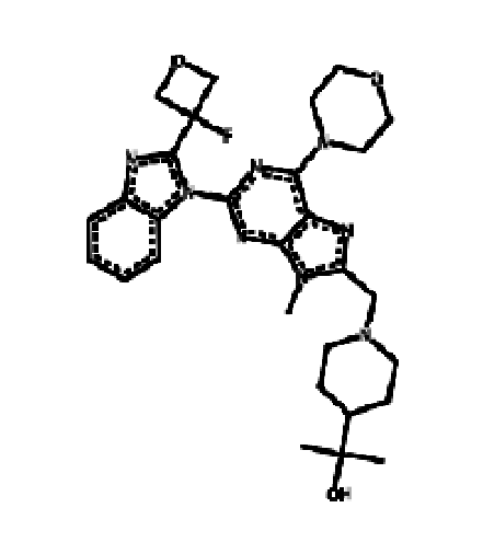 Cn1c(CN2CCC(C(C)(C)O)CC2)nc2c(N3CCOCC3)nc(-n3c(C4(F)COC4)nc4ccccc43)nc21